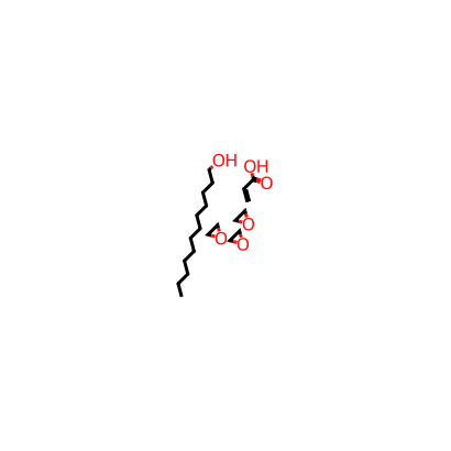 C1CO1.C1CO1.C1CO1.C=CC(=O)O.CCCCCCCCCCCCO